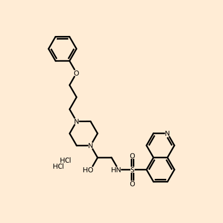 Cl.Cl.O=S(=O)(NCC(O)N1CCN(CCCOc2ccccc2)CC1)c1cccc2cnccc12